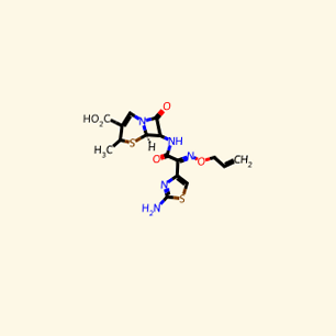 C=CCON=C(C(=O)NC1C(=O)N2C=C(C(=O)O)C(C)S[C@H]12)c1csc(N)n1